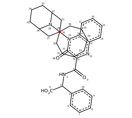 O=C(NC(C(=O)O)c1ccccc1)c1nc2ccccc2n(C2CC3CCCC(C2)N3C2CCCCCCC2)c1=O